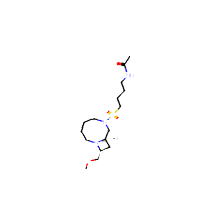 COC[C@@H]1C[C@@H]2CN(S(=O)(=O)CCCCNC(C)=O)CCCCN12